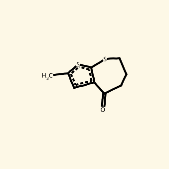 Cc1cc2c(s1)SCCCC2=O